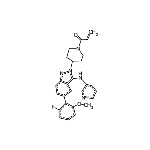 C=CC(=O)N1CCC(n2nc3ccc(-c4c(F)cccc4OC)cc3c2Nc2cccnc2)CC1